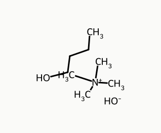 CCCCO.C[N+](C)(C)C.[OH-]